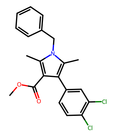 COC(=O)c1c(-c2ccc(Cl)c(Cl)c2)c(C)n(Cc2ccccc2)c1C